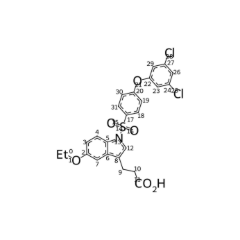 CCOc1ccc2c(c1)c(CCC(=O)O)cn2S(=O)(=O)c1ccc(Oc2cc(Cl)cc(Cl)c2)cc1